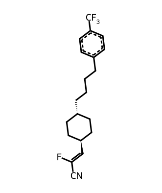 N#CC(F)=C[C@H]1CC[C@H](CCCCc2ccc(C(F)(F)F)cc2)CC1